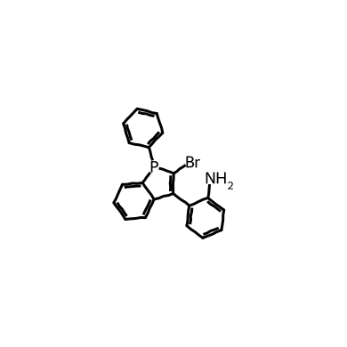 Nc1ccccc1-c1c(Br)p(-c2ccccc2)c2ccccc12